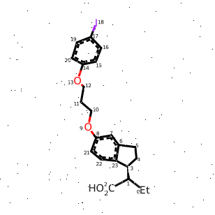 CCC(C(=O)O)[C@@H]1CCc2cc(OCCCOc3ccc(I)cc3)ccc21